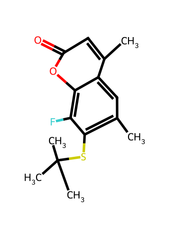 Cc1cc2c(C)cc(=O)oc2c(F)c1SC(C)(C)C